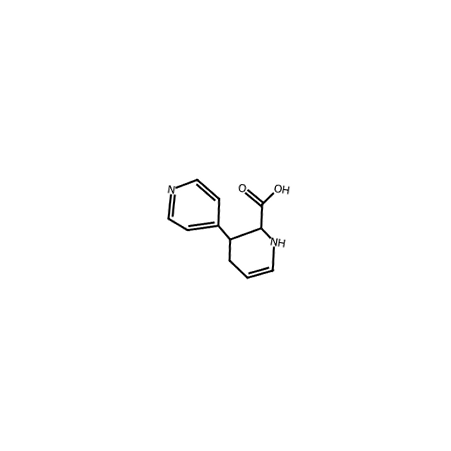 O=C(O)C1NC=CCC1c1ccncc1